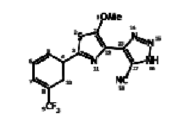 COc1sc(C2C=CC=C(C(F)(F)F)C2)nc1-c1nn[nH]c1C#N